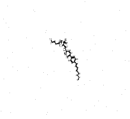 CCCCCCCCc1ccc(-c2ccc(OCC(OC(=O)CCCC)C(F)(F)F)nn2)cc1